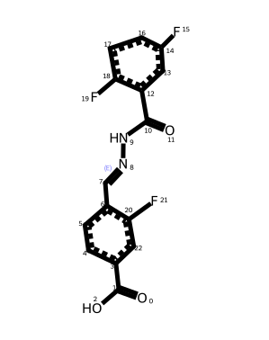 O=C(O)c1ccc(/C=N/NC(=O)c2cc(F)ccc2F)c(F)c1